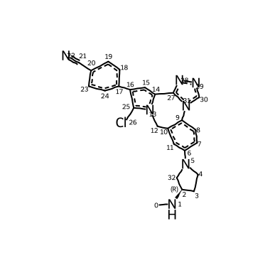 CN[C@@H]1CCN(c2ccc3c(c2)Cn2c(cc(-c4ccc(C#N)cc4)c2Cl)-c2nncn2-3)C1